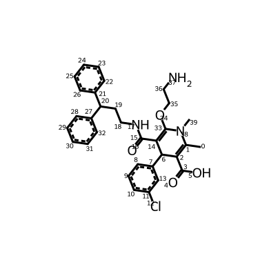 CC1=C(C(=O)O)C(c2cccc(Cl)c2)C(C(=O)NCCC(c2ccccc2)c2ccccc2)=C(OCCN)N1C